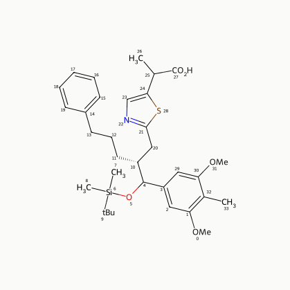 COc1cc(C(O[Si](C)(C)C(C)(C)C)[C@H](CCCc2ccccc2)Cc2ncc(C(C)C(=O)O)s2)cc(OC)c1C